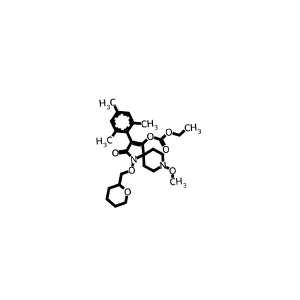 CCOC(=O)OC1=C(c2c(C)cc(C)cc2C)C(=O)N(OCC2CCCCO2)C12CCN(OC)CC2